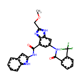 COCc1nc2c(C(=O)Nc3cc4ccccc4[nH]3)cc(NC(=O)c3ccccc3C(F)(F)F)cc2[nH]1